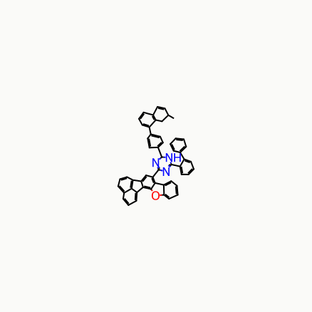 CC1C=Cc2cccc(-c3ccc(C4N=C(c5cc6c(c7oc8ccccc8c57)-c5cccc7cccc-6c57)N=C(c5ccccc5-c5ccccc5)N4)cc3)c2C1